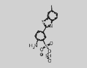 Cc1ccc2nc(-c3ccc(N)c(S(=O)(=O)O[SH](=O)=O)c3)sc2c1